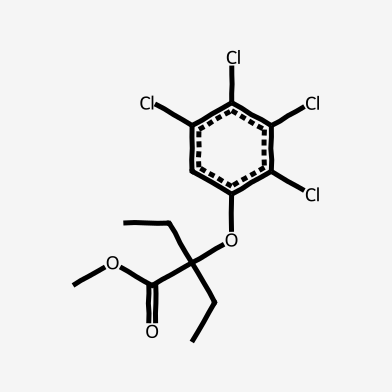 CCC(CC)(Oc1cc(Cl)c(Cl)c(Cl)c1Cl)C(=O)OC